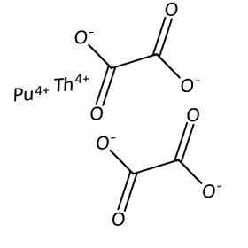 O=C([O-])C(=O)[O-].O=C([O-])C(=O)[O-].[Pu+4].[Th+4]